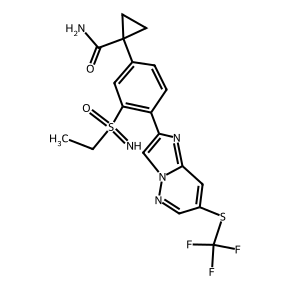 CCS(=N)(=O)c1cc(C2(C(N)=O)CC2)ccc1-c1cn2ncc(SC(F)(F)F)cc2n1